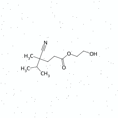 CC(C)C(C)(C#N)CCC(=O)OCCO